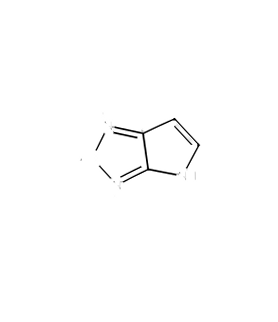 c1cc2nonc2[nH]1